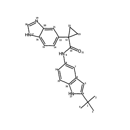 CC(C)(C)c1cc2cc(NC(=O)C3(c4ccc5[nH]cnc5c4)CC3)ccc2[nH]1